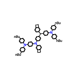 CCCCc1ccc(N(c2ccc(CCCC)cc2)c2ccc(C(c3ccc(N(c4ccc(N(c5ccc(CCCC)cc5)c5ccc(CCCC)cc5)cc4)c4ccc5c(c4)CC5)cc3)c3ccc4c(c3)CC4)cc2)cc1